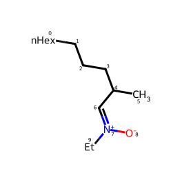 CCCCCCCCCC(C)C=[N+]([O-])CC